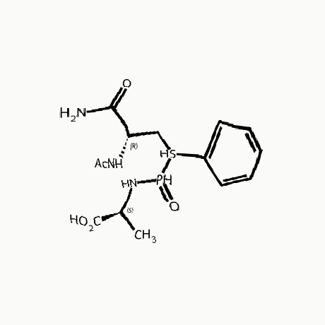 CC(=O)N[C@@H](C[SH](c1ccccc1)[PH](=O)N[C@@H](C)C(=O)O)C(N)=O